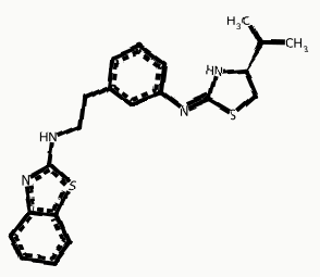 CC(C)[C@H]1CS/C(=N/c2cccc(CCNc3nc4ccccc4s3)c2)N1